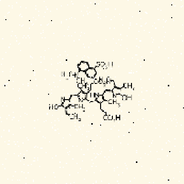 C=CC1=C(C)C(O)=NC1=Cc1[nH]c(CC2N=C(C=C3N=C(O)C(C=C)=C3C)C(C)=C2CCC(=O)O)c(CCC(=O)O)c1C.CN(C)c1cccc2c(S(=O)(=O)O)cccc12